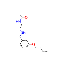 CCCCOc1cccc(CNCCNC(C)=O)c1